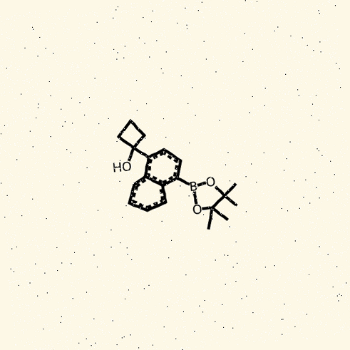 CC1(C)OB(c2ccc(C3(O)CCC3)c3ccccc23)OC1(C)C